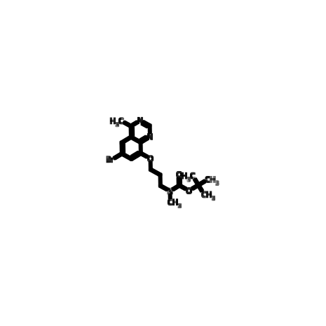 Cc1ncnc2c(OCCCN(C)C(=O)OC(C)(C)C)cc(Br)cc12